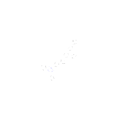 c1ccc(-c2ccc(-c3ccc(-c4ccc5oc6cc(-c7nc(-c8ccccc8)nc(-c8ccccc8)n7)ccc6c5c4)c4sc5ccccc5c34)cc2)cc1